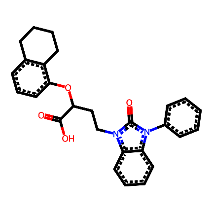 O=C(O)C(CCn1c(=O)n(-c2ccccc2)c2ccccc21)Oc1cccc2c1CCCC2